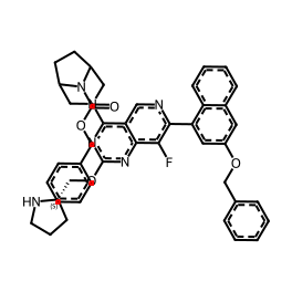 O=C(OCc1ccccc1)N1C2CCC1CN(c1nc(OC[C@@H]3CCCN3)nc3c(F)c(-c4cc(OCc5ccccc5)cc5ccccc45)ncc13)C2